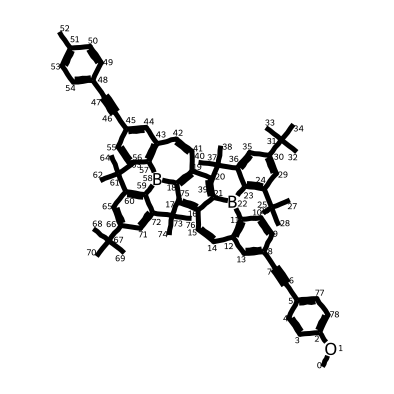 COc1ccc(C#Cc2ccc3c(c2)C=Cc2cc4c(cc2B3c2c(C(C)(C)C)cc(C(C)(C)C)cc2C(C)(C)C)C=Cc2cc(C#Cc3ccc(C)cc3)ccc2B4c2c(C(C)(C)C)cc(C(C)(C)C)cc2C(C)(C)C)cc1